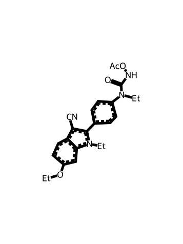 CCOc1ccc2c(C#N)c(-c3ccc(N(CC)C(=O)NOC(C)=O)cc3)n(CC)c2c1